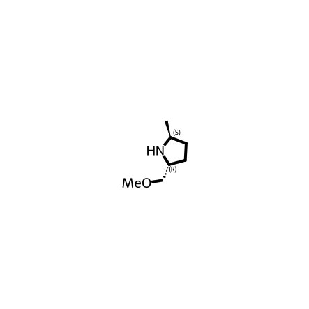 COC[C@H]1CC[C@H](C)N1